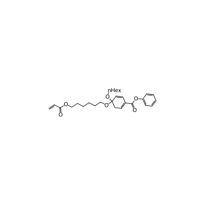 C=CC(=O)OCCCCCCOC1(OCCCCCC)C=CC(C(=O)Oc2ccccc2)=CC1